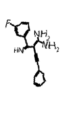 N=C(C(C#Cc1ccccc1)=C(N)N)c1cccc(F)c1